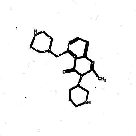 Cc1nc2cccc(CN3CCNCC3)c2c(=O)n1C1CCCNC1